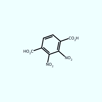 O=C(O)c1ccc(C(=O)O)c([N+](=O)[O-])c1[N+](=O)[O-]